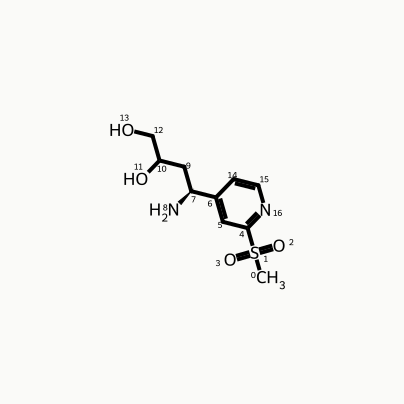 CS(=O)(=O)c1cc([C@@H](N)CC(O)CO)ccn1